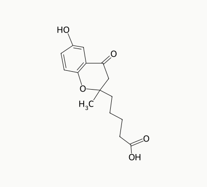 CC1(CCCCC(=O)O)CC(=O)c2cc(O)ccc2O1